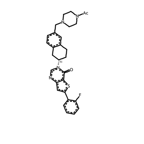 CC(=O)N1CCN(Cc2ccc3c(c2)CC[C@H](n2cnc4cc(-c5ccccc5F)sc4c2=O)C3)CC1